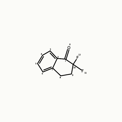 O=C1c2ccccc2CCC1(F)F